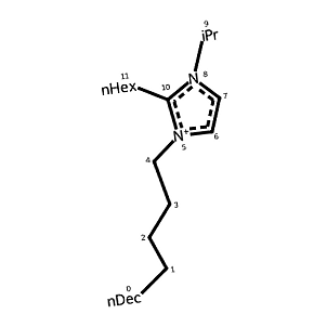 CCCCCCCCCCCCCC[n+]1ccn(C(C)C)c1CCCCCC